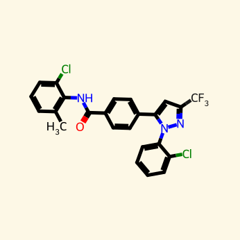 Cc1cccc(Cl)c1NC(=O)c1ccc(-c2cc(C(F)(F)F)nn2-c2ccccc2Cl)cc1